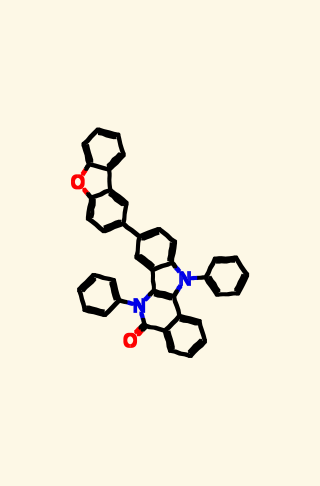 O=c1c2ccccc2c2c(c3cc(-c4ccc5oc6ccccc6c5c4)ccc3n2-c2ccccc2)n1-c1ccccc1